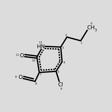 CCCc1cc(Cl)c(C=O)c(=O)[nH]1